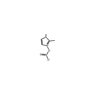 Cc1[nH]cc[n+]1O[N+](=O)[O-]